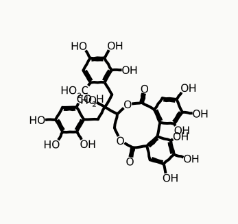 O=C(O)c1cc(O)c(O)c(O)c1CC(O)(Cc1c(C(=O)O)cc(O)c(O)c1O)C1COC(=O)c2cc(O)c(O)c(O)c2-c2c(cc(O)c(O)c2O)C(=O)O1